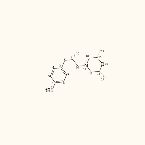 C[C@@H](Cc1ccc(C(C)(C)C)cc1)CN1C[C@@H](C)O[C@@H](C)C1